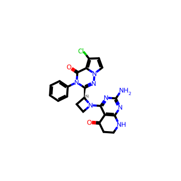 Nc1nc2c(c(N3CC[C@H]3c3nn4ccc(Cl)c4c(=O)n3-c3ccccc3)n1)C(=O)CCN2